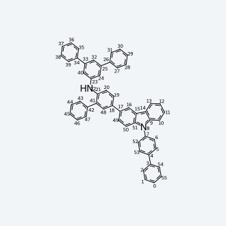 c1ccc(-c2ccc(-n3c4ccccc4c4cc(-c5ccc(Nc6cc(-c7ccccc7)cc(-c7ccccc7)c6)c(-c6ccccc6)c5)ccc43)cc2)cc1